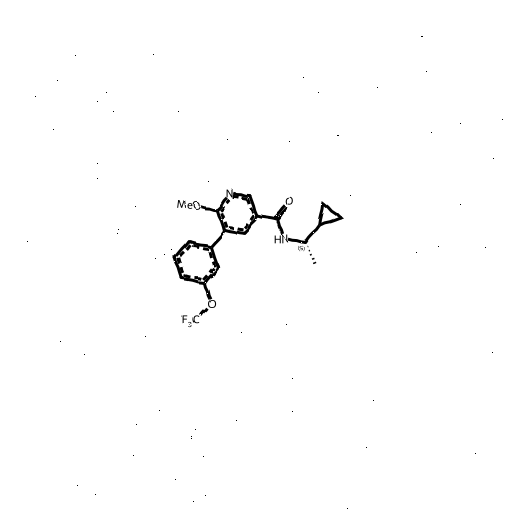 COc1ncc(C(=O)N[C@@H](C)C2CC2)cc1-c1cccc(OC(F)(F)F)c1